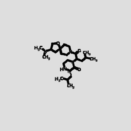 CC(C)CC(C(=O)N1CCC2(CC1)CC(N(C)C)CO2)N1CCN[C@@H](CC(C)C)C1=O